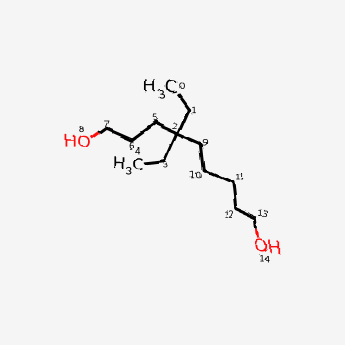 CCC(CC)(CCCO)CCCCCO